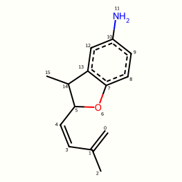 C=C(C)/C=C\C1Oc2ccc(N)cc2C1C